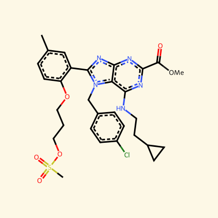 COC(=O)c1nc(NCCC2CC2)c2c(n1)nc(-c1cc(C)ccc1OCCCOS(C)(=O)=O)n2Cc1ccc(Cl)cc1